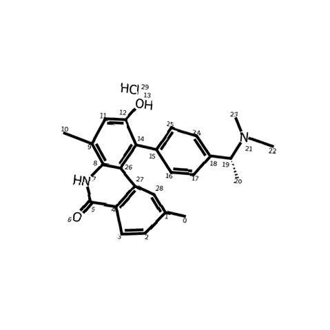 Cc1ccc2c(=O)[nH]c3c(C)cc(O)c(-c4ccc([C@@H](C)N(C)C)cc4)c3c2c1.Cl